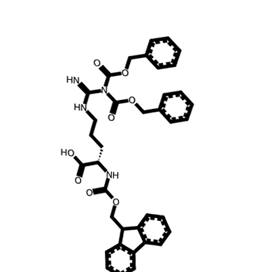 N=C(NCCC[C@H](NC(=O)OCC1c2ccccc2-c2ccccc21)C(=O)O)N(C(=O)OCc1ccccc1)C(=O)OCc1ccccc1